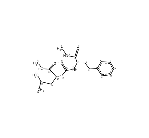 CNC(=O)[C@H](CCc1ccccc1)NC(=O)C[C@H](CC(C)C)C(=O)OC